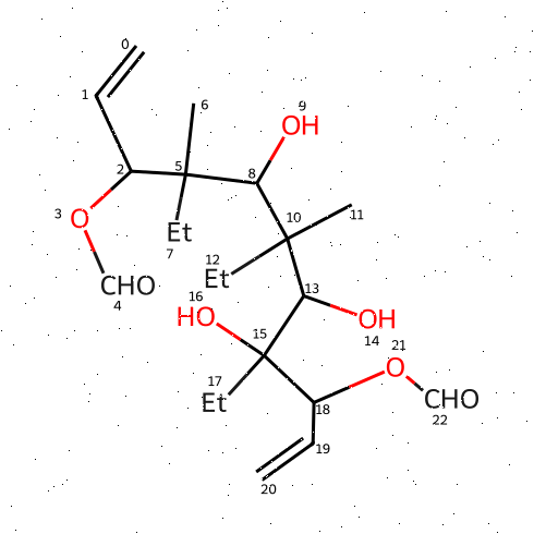 C=CC(OC=O)C(C)(CC)C(O)C(C)(CC)C(O)C(O)(CC)C(C=C)OC=O